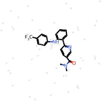 CN(C)C(=O)c1ccc(-c2ccccc2Nc2ccc(C(F)(F)F)cc2)nc1